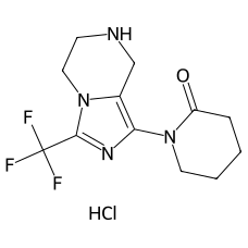 Cl.O=C1CCCCN1c1nc(C(F)(F)F)n2c1CNCC2